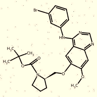 COc1cc2ncnc(Nc3cccc(Br)c3)c2cc1OC[C@H]1CCCN1C(=O)OC(C)(C)C